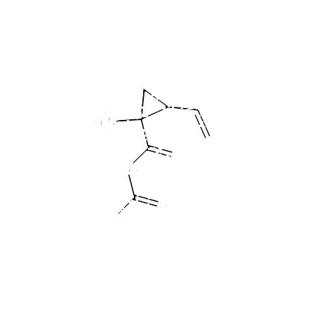 C=CC1CC1(N)C(=O)NC(=O)C(F)(F)F